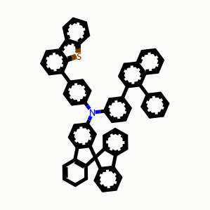 C1=CC2=C(CC1)C1(c3cc(N(c4ccc(-c5cccc6c5sc5ccccc56)cc4)c4cccc(-c5ccc6ccccc6c5-c5ccccc5)c4)ccc32)c2ccccc2-c2ccccc21